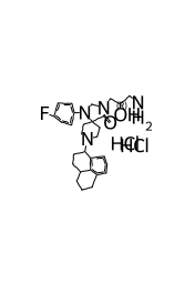 Cl.Cl.NC[C@@H](O)CN1CN(c2ccc(F)cc2)C2(CCN(C3CCC4CCCc5cccc3c54)CC2)C1=O